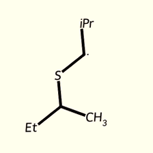 CCC(C)S[CH]C(C)C